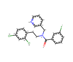 O=C(c1cccc(F)c1)N(CCc1ccc(Cl)cc1Cl)Cc1cccnc1